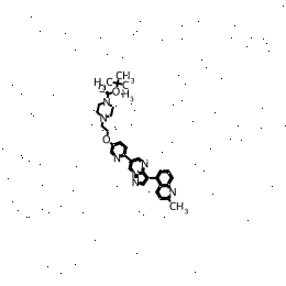 Cc1ccc2c(-c3cnn4cc(-c5ccc(OCCN6CCN(C(=O)OC(C)(C)C)CC6)cn5)cnc34)cccc2n1